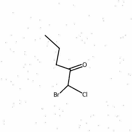 CCCC(=O)C(Cl)Br